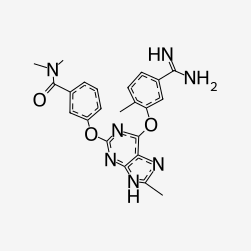 Cc1nc2c(Oc3cc(C(=N)N)ccc3C)nc(Oc3cccc(C(=O)N(C)C)c3)nc2[nH]1